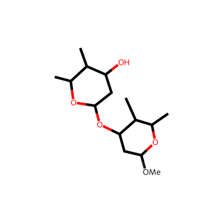 COC1CC(OC2CC(O)C(C)C(C)O2)C(C)C(C)O1